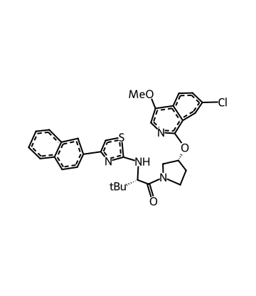 COc1cnc(O[C@@H]2CCN(C(=O)[C@@H](Nc3nc(-c4ccc5ccccc5c4)cs3)C(C)(C)C)C2)c2cc(Cl)ccc12